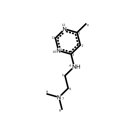 Cc1cc(NCCN(C)C)ncn1